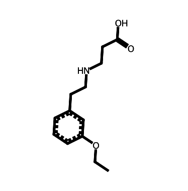 CCOc1cccc(CCNCCC(=O)O)c1